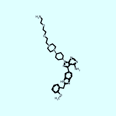 COc1ccccc1Cc1nc2ccc(-c3nn([C@H]4CC[C@H](N5CCN(CCOCCOCCN)CC5)CC4)c4ncnc(N)c34)cc2[nH]1